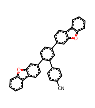 N#Cc1ccc(-c2cc(-c3ccc4c(c3)oc3ccccc34)ccc2-c2ccc3c(c2)oc2ccccc23)cc1